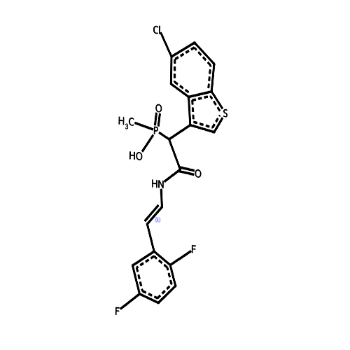 CP(=O)(O)C(C(=O)N/C=C/c1cc(F)ccc1F)c1csc2ccc(Cl)cc12